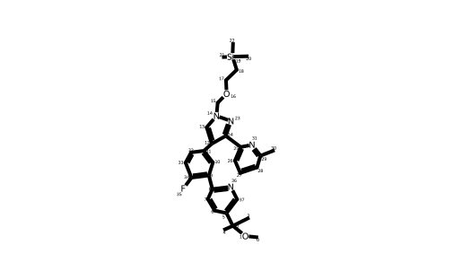 COC(C)(C)c1ccc(-c2cc(-c3cn(COCC[Si](C)(C)C)nc3-c3cccc(C)n3)ccc2F)nc1